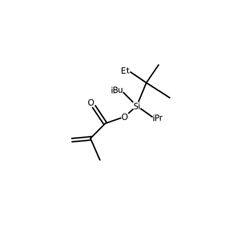 C=C(C)C(=O)O[Si](C(C)C)(C(C)CC)C(C)(C)CC